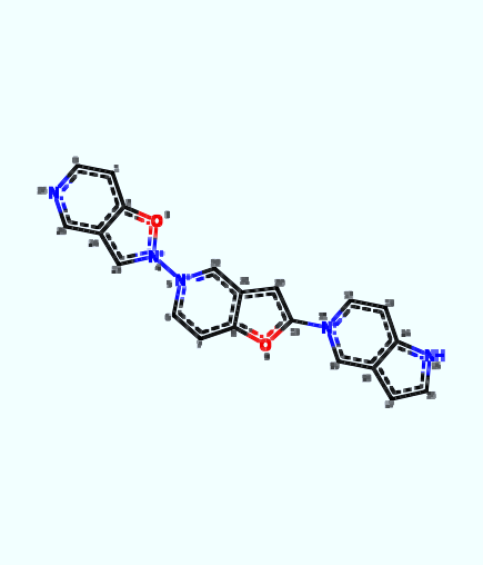 c1cc2o[n+](-[n+]3ccc4oc(-[n+]5ccc6[nH]ccc6c5)cc4c3)cc2cn1